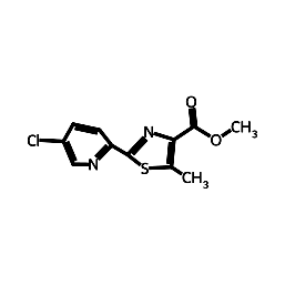 COC(=O)c1nc(-c2ccc(Cl)cn2)sc1C